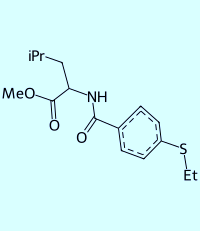 CCSc1ccc(C(=O)NC(CC(C)C)C(=O)OC)cc1